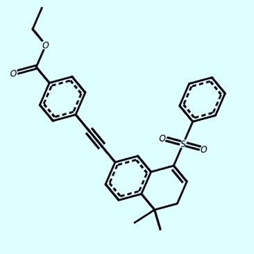 CCOC(=O)c1ccc(C#Cc2ccc3c(c2)C(S(=O)(=O)c2ccccc2)=CCC3(C)C)cc1